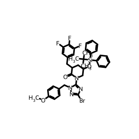 COc1ccc(Cn2nc(Br)nc2N2CC(O[Si](c3ccccc3)(c3ccccc3)C(C)(C)C)CC(Cc3cc(F)c(F)c(F)c3)C2=O)cc1